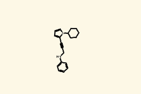 C(#Cc1cccn1C1CCCCC1)CNc1ccccc1